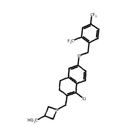 O=C(O)C1CN(CC2=C(Cl)c3ccc(OCc4ccc(C(F)(F)F)cc4C(F)(F)F)cc3CC2)C1